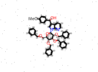 COc1ccc(C(O)c2cn([C@@H]3O[C@H](COCc4ccccc4)[C@@H](OCc4ccccc4)[C@H](OCc4ccccc4)[C@H]3OCc3ccccc3)c3ncccc23)cc1